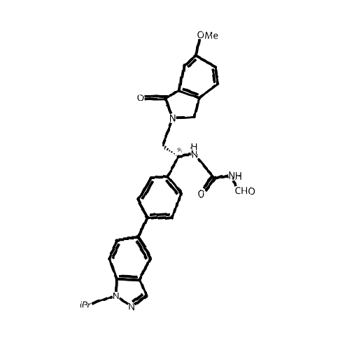 COc1ccc2c(c1)C(=O)N(C[C@H](NC(=O)NC=O)c1ccc(-c3ccc4c(cnn4C(C)C)c3)cc1)C2